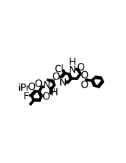 Cc1cc2c(c(OC(C)C)c1F)C(=O)N1C[C@@H](Oc3ncc4c(c3Cl)NC(=O)C(OC(=O)c3ccccc3)C4)C[C@@H]1CO2